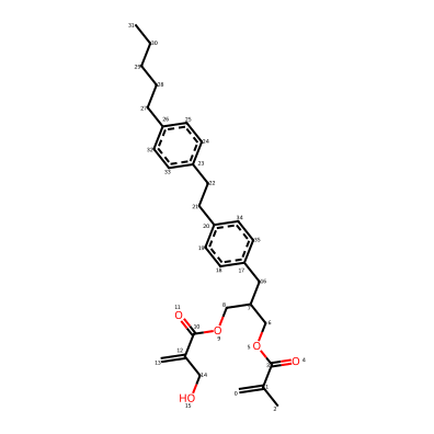 C=C(C)C(=O)OCC(COC(=O)C(=C)CO)Cc1ccc(CCc2ccc(CCCCC)cc2)cc1